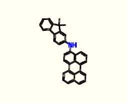 CC1(C)c2ccccc2-c2ccc(Nc3ccc4c5cccc6cccc(c7cccc3c74)c65)cc21